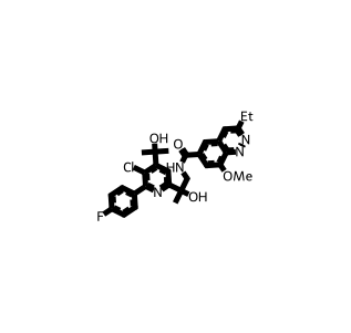 CCc1cc2cc(C(=O)NCC(C)(O)c3cc(C(C)(C)O)c(Cl)c(-c4ccc(F)cc4)n3)cc(OC)c2nn1